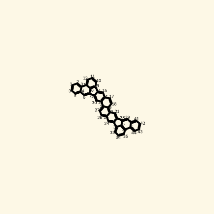 c1ccc2c(c1)cc1c3c(cccc32)-c2cc3ccc4c5cc6c(cc5ccc4c3cc2-1)-c1cccc2c1c-6cc1ccccc12